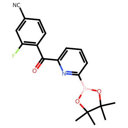 CC1(C)OB(c2cccc(C(=O)c3ccc(C#N)cc3F)n2)OC1(C)C